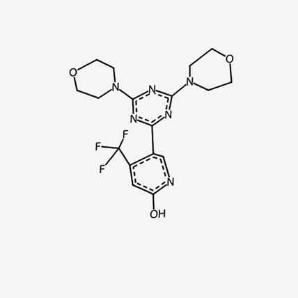 Oc1cc(C(F)(F)F)c(-c2nc(N3CCOCC3)nc(N3CCOCC3)n2)cn1